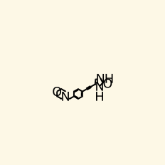 O=C1NCC(C#Cc2ccc(CN3CCOCC3)cc2)N1